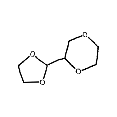 C1COC([C]2OCCO2)CO1